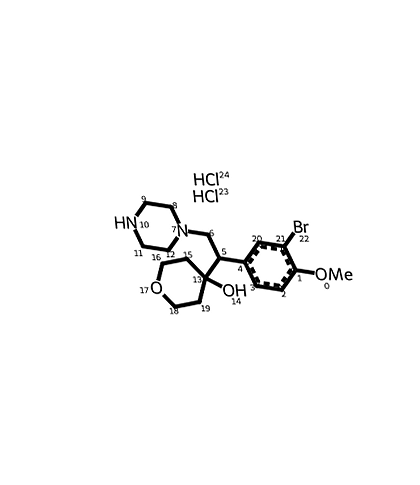 COc1ccc(C(CN2CCNCC2)C2(O)CCOCC2)cc1Br.Cl.Cl